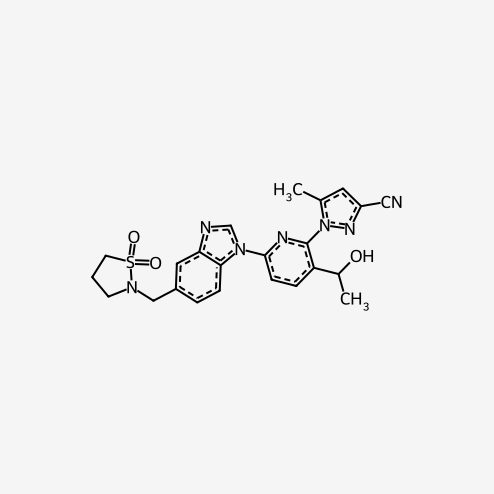 Cc1cc(C#N)nn1-c1nc(-n2cnc3cc(CN4CCCS4(=O)=O)ccc32)ccc1C(C)O